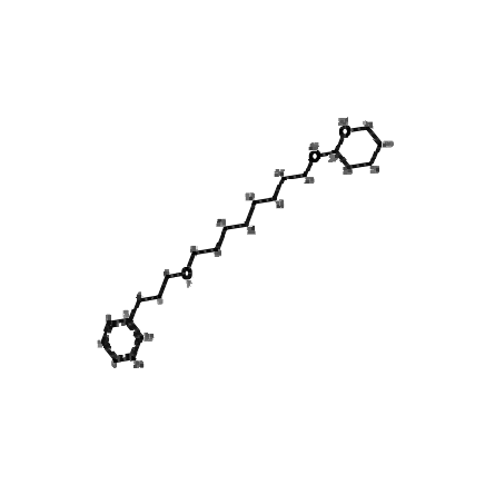 c1ccc(CCCOCCCCCCCCOC2CCCCO2)cc1